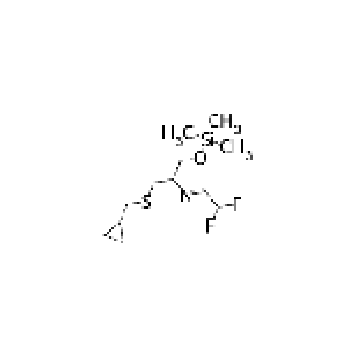 C[Si](C)(C)OCC(CSCC1CC1)/N=C/C(F)F